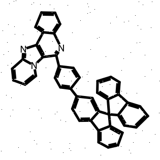 c1ccc2c(c1)-c1ccccc1C21c2ccccc2-c2ccc(-c3ccc(-c4nc5ccccc5c5nc6ccccn6c45)cc3)cc21